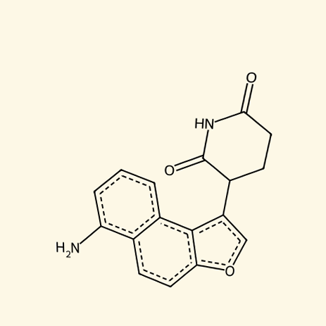 Nc1cccc2c1ccc1occ(C3CCC(=O)NC3=O)c12